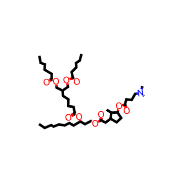 CCCCCCCCC(CCOC(=O)CC1CCC(OC(=O)CCCN(C)C)C1C)OC(=O)CCCCC(COC(=O)CCCCC)COC(=O)CCCCC